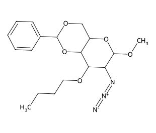 CCCCOC1C(N=[N+]=[N-])C(OC)OC2COC(c3ccccc3)OC21